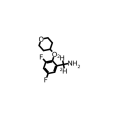 [2H]C([2H])(N)c1cc(F)cc(F)c1OC1CCOCC1